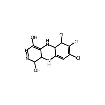 OC1=C2NC3C(=CC(Cl)=C(Cl)C3Cl)NC2C(O)N=N1